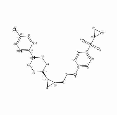 O=S(=O)(c1ccc(OCC[C@H]2C[C@H]2C2CCN(c3ncc(Cl)cn3)CC2)cc1)C1CC1